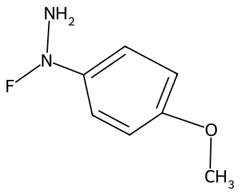 COc1ccc(N(N)F)cc1